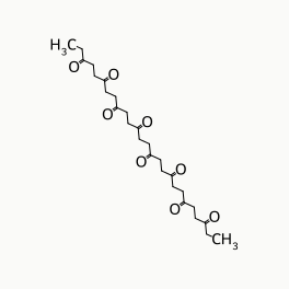 CCC(=O)CCC(=O)CCC(=O)CCC(=O)CCC(=O)CCC(=O)CCC(=O)CCC(=O)CC